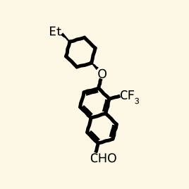 CC[C@H]1CC[C@@H](Oc2ccc3cc(C=O)ccc3c2C(F)(F)F)CC1